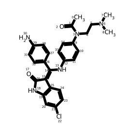 CC(=O)N(CCN(C)C)c1ccc(NC(=C2C(=O)Nc3cc(Cl)ccc32)c2ccc(N)cc2)cc1